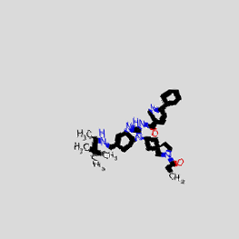 C=CC(=O)N1CC[C@]2(C1)C[C@H](n1c(NC(=O)c3ccc(-c4ccccc4)nc3)nc3cc(CN[C@@H](C)C(C)(C)C)ccc31)C2